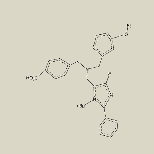 CCCCn1c(-c2ccccc2)nc(F)c1CN(Cc1ccc(C(=O)O)cc1)Cc1cccc(OCC)c1